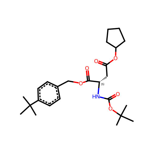 CC(C)(C)OC(=O)N[C@@H](CC(=O)OC1CCCC1)C(=O)OCc1ccc(C(C)(C)C)cc1